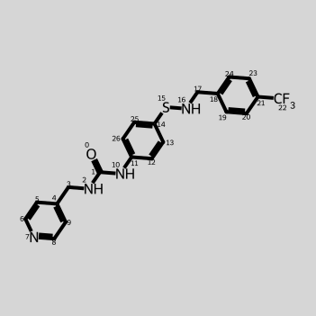 O=C(NCc1ccncc1)Nc1ccc(SNCc2ccc(C(F)(F)F)cc2)cc1